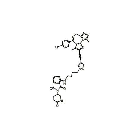 Cc1c(C#Cc2cnn(CCCCNc3cccc4c3C(=O)N(C3CCC(=O)NC3)C4=O)c2)sc2c1C(c1ccc(Cl)cc1)=NCc1nnc(C)n1-2